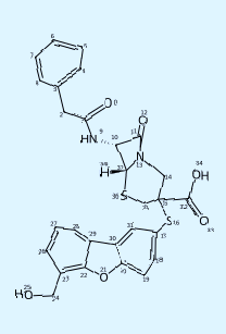 O=C(Cc1ccccc1)N[C@@H]1C(=O)N2CC(Sc3ccc4oc5c(CO)cccc5c4c3)(C(=O)O)CS[C@H]12